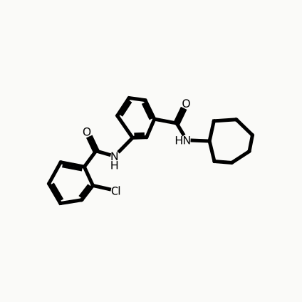 O=C(NC1CCCCCC1)c1cccc(NC(=O)c2ccccc2Cl)c1